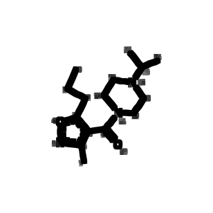 CCCc1onc(C)c1C(=O)N1CCN(C(C)C)CC1